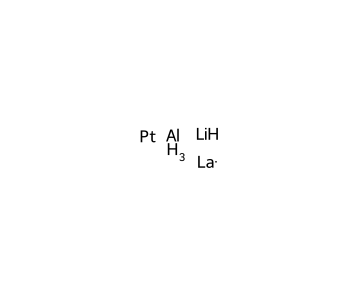 [AlH3].[La].[LiH].[Pt]